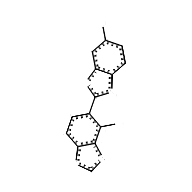 Cc1ccc2nc(-c3ccc4s[c]nc4c3C)sc2c1